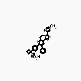 Cn1cnc(-c2nnc3n2CCc2nc(-c4ccc(C5(NC(=O)O)CCC5)cc4)c(-c4ccccc4)cc2-3)c1